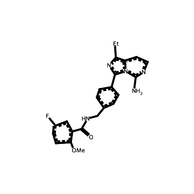 CCc1nc(-c2ccc(CNC(=O)c3cc(F)ccc3OC)cc2)n2c(N)nccc12